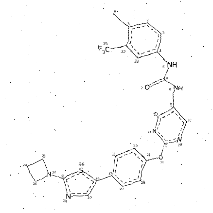 Cc1ccc(NC(=O)Nc2cnc(Oc3ccc(-c4cnc(N5CCC5)s4)cc3)nc2)cc1C(F)(F)F